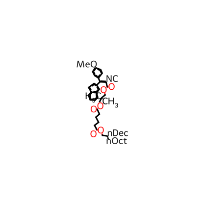 [C-]#[N+]C(C(=O)OCC(C)(C)COC(=O)CCCCC(=O)OCC(CCCCCCCC)CCCCCCCCCC)=C(c1ccc(OC)cc1)c1ccc2ccccc2c1